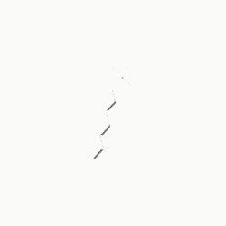 C=C/C=C/C=C/O[Si](C)(C)C